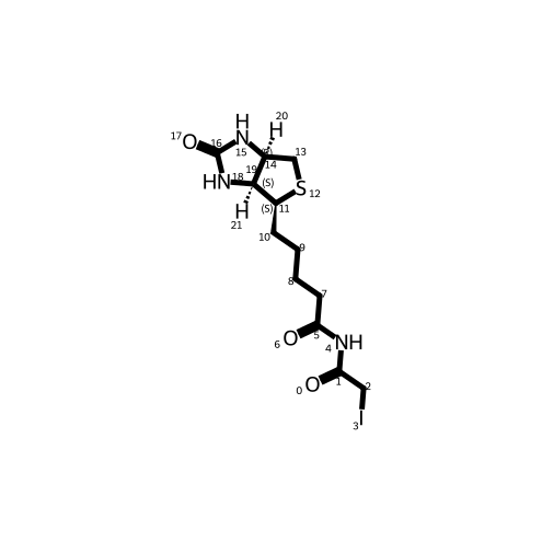 O=C(CI)NC(=O)CCCC[C@@H]1SC[C@@H]2NC(=O)N[C@@H]21